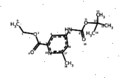 CCOC(=O)c1cc(NC(=O)OC(C)(C)C)cc(C)n1